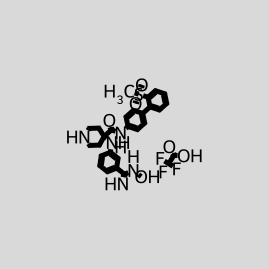 CS(=O)(=O)c1ccccc1-c1ccc(NC(=O)C2(Nc3cccc(C(=N)NO)c3)CCNCC2)cc1.O=C(O)C(F)(F)F